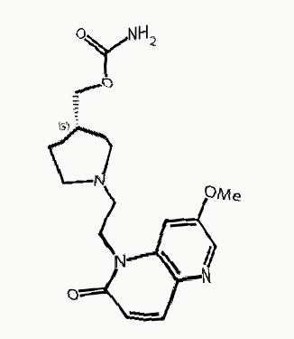 COc1cnc2ccc(=O)n(CCN3CC[C@H](COC(N)=O)C3)c2c1